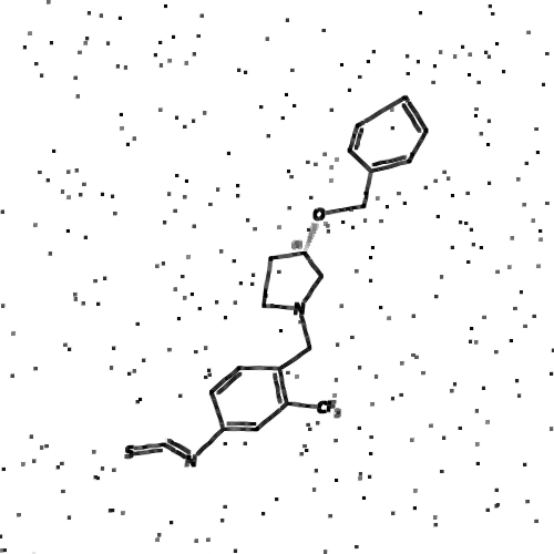 FC(F)(F)c1cc(N=C=S)ccc1CN1CC[C@H](OCc2ccccc2)C1